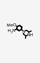 COc1ccc(N2CC(C)NC(C)C2)cc1N